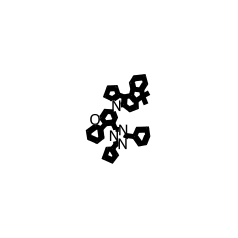 CC1(C)c2ccccc2-c2c1ccc1c2c2c(n1-c1cc(-c3nc(C4=CC=CC4)nc(-c4ccccc4)n3)c3c(c1)oc1ccccc13)CC=C2